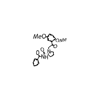 COc1ccc(OC)c(C(=O)CN2CCC[C@@H]2C(=O)NC(=O)c2ccccc2)c1